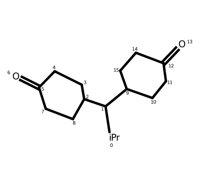 CC(C)C(C1CCC(=O)CC1)C1CCC(=O)CC1